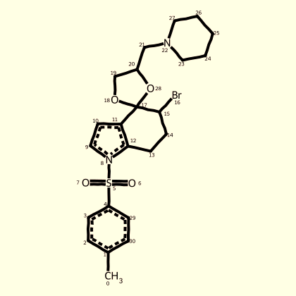 Cc1ccc(S(=O)(=O)n2ccc3c2CCC(Br)C32OCC(CN3CCCCC3)O2)cc1